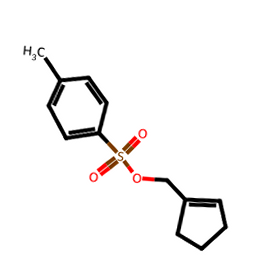 Cc1ccc(S(=O)(=O)OCC2=CCCC2)cc1